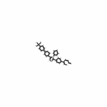 C=C/C=C\C(=C/C)c1ccc(-c2nnc(-c3ccc(-c4ccc(C(C)(C)C)cc4)cc3)n2-c2ccccc2)cc1